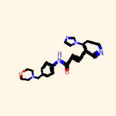 O=C(/C=C/c1cnccc1-n1ccnc1)Nc1ccc(CN2CCOCC2)cc1